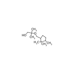 CC1CCC(COC(C)(C)CO)C1(C)C